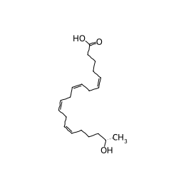 C[C@H](O)CCC/C=C\C/C=C\C/C=C\C/C=C\CCCC(=O)O